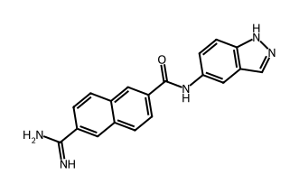 N=C(N)c1ccc2cc(C(=O)Nc3ccc4[nH]ncc4c3)ccc2c1